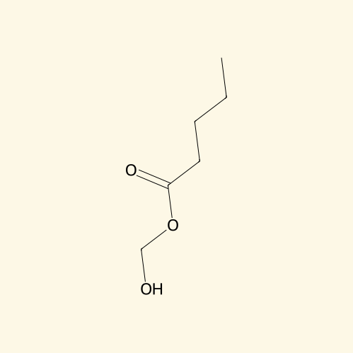 CCCCC(=O)OCO